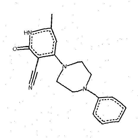 Cc1cc(N2CCN(c3ccccc3)CC2)c(C#N)c(=O)[nH]1